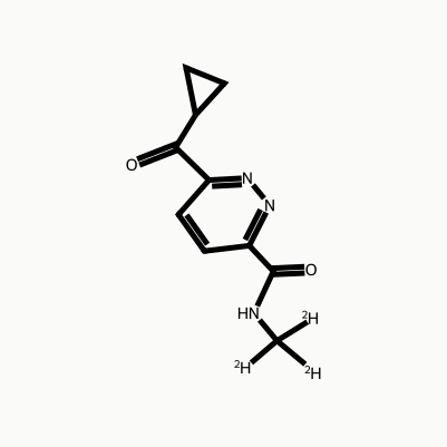 [2H]C([2H])([2H])NC(=O)c1ccc(C(=O)C2CC2)nn1